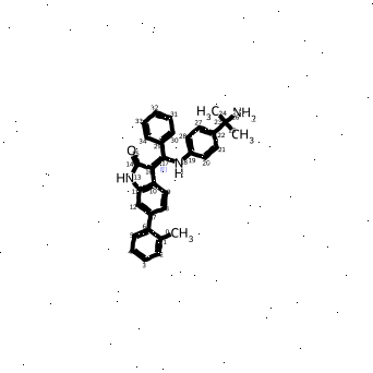 Cc1ccccc1-c1ccc2c(c1)NC(=O)/C2=C(/Nc1ccc(C(C)(C)N)cc1)c1ccccc1